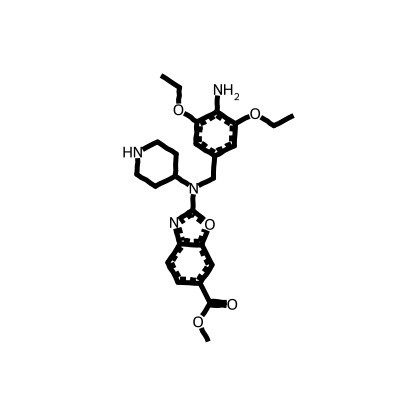 CCOc1cc(CN(c2nc3ccc(C(=O)OC)cc3o2)C2CCNCC2)cc(OCC)c1N